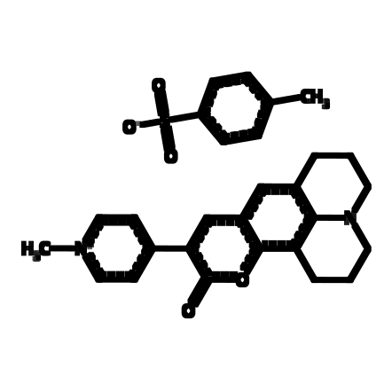 C[n+]1ccc(-c2cc3cc4c5c(c3oc2=O)CCCN5CCC4)cc1.Cc1ccc(S(=O)(=O)[O-])cc1